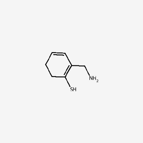 NCC1=C(S)CCC=C1